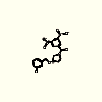 O=C(c1cc([N+](=O)[O-])cc([N+](=O)[O-])c1)N1CC[C@@H](OCc2cccc(Cl)c2)C1